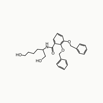 O=C(NC(CO)CCCCO)c1cccc(OCc2ccccc2)c1OCc1ccccc1